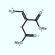 B/C=C(\CC(=O)OC)C(=O)OC